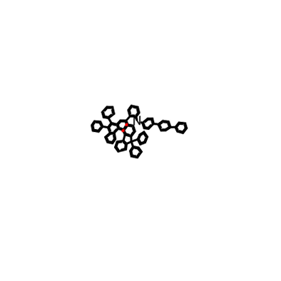 c1ccc(-c2ccc(-c3ccc(N(c4ccc5c(c4)C(c4ccccc4)(c4ccccc4)c4ccccc4-5)c4ccccc4-c4ccc5c(c4)c(-c4ccccc4)c(-c4ccccc4)c4ccccc45)cc3)cc2)cc1